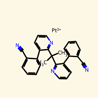 CC(C)(c1ncccc1-c1ccccc1C#N)c1ncccc1-c1ccccc1C#N.[Pt+2]